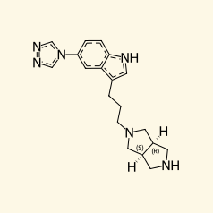 c1cc2[nH]cc(CCCN3C[C@H]4CNC[C@H]4C3)c2cc1-n1cnnc1